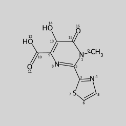 Cn1c(-c2nccs2)nc(C(=O)O)c(O)c1=O